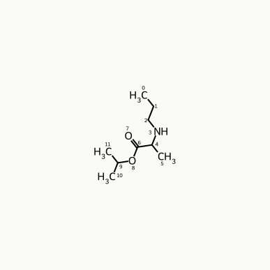 CCCNC(C)C(=O)OC(C)C